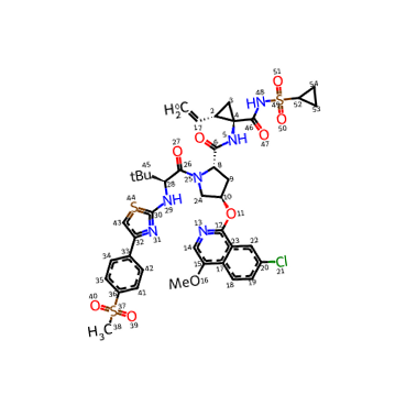 C=C[C@@H]1C[C@]1(NC(=O)[C@@H]1C[C@@H](Oc2ncc(OC)c3ccc(Cl)cc23)CN1C(=O)[C@@H](Nc1nc(-c2ccc(S(C)(=O)=O)cc2)cs1)C(C)(C)C)C(=O)NS(=O)(=O)C1CC1